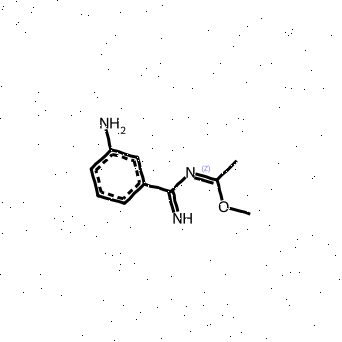 CO/C(C)=N\C(=N)c1cccc(N)c1